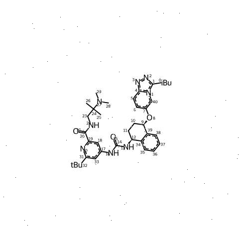 CCC(C)c1nnc2ccc(O[C@@H]3CC[C@H](NC(=O)Nc4cc(C(=O)NCC(C)(C)N(C)C)nc(C(C)(C)C)c4)c4ccccc43)cn12